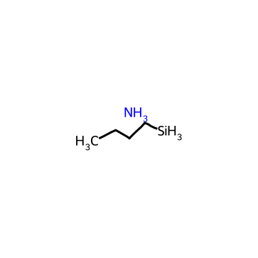 CCCC[SiH3].N